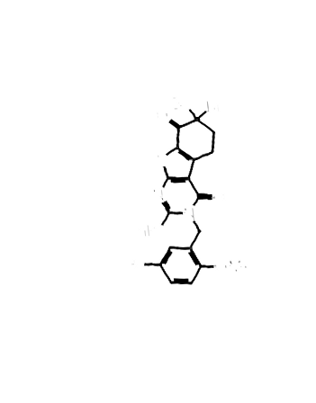 CCCc1nc2sc3c(c2c(=O)n1Cc1cc(Br)ccc1OC)CCC(Br)(Br)C3=O